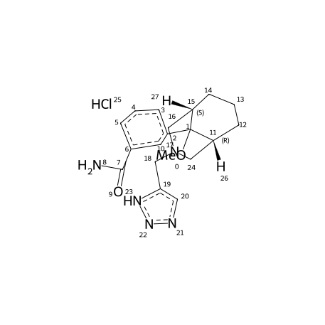 COC1(c2cccc(C(N)=O)c2)[C@@H]2CCC[C@H]1CN(Cc1cnn[nH]1)C2.Cl